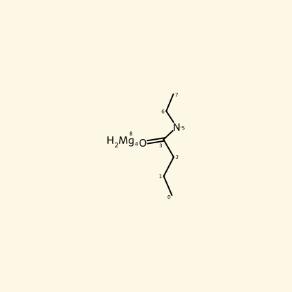 CCCC(=O)[N]CC.[MgH2]